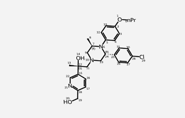 CCCOc1ccc(N2[C@H](C)CN(C[C@@](C)(O)c3ccc(CO)nc3)C[C@H]2c2ccc(Cl)cc2)cc1